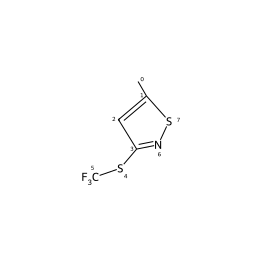 Cc1cc(SC(F)(F)F)ns1